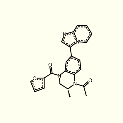 CC(=O)N1c2ccc(-c3cnc4ccccn34)cc2N(C(=O)c2ccco2)C[C@@H]1C